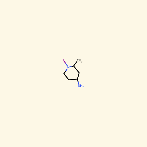 CC1CC(N)CCN1I